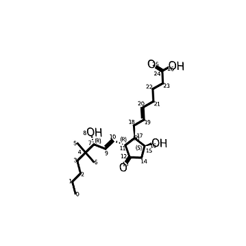 CCCCC(C)(C)[C@H](O)C=C[C@H]1C(=O)C[C@H](O)[C@@H]1CC=CCCCC(=O)O